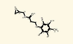 Cc1c(F)c(F)c(SCCC(=O)OCC2CO2)c(F)c1F